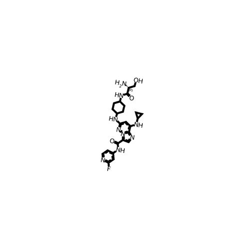 N[C@H](CO)C(=O)NC1CCC(Nc2cc(NC3CC3)c3ncc(C(=O)Nc4ccnc(F)c4)n3n2)CC1